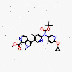 COC(=O)c1nccc2c(-c3cnc(N(C(=O)OC(C)(C)C)c4ccc(OC5CC5)nc4)cc3C)cn(C)c12